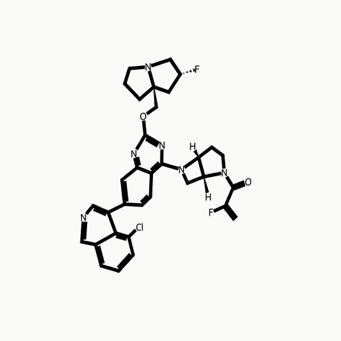 C=C(F)C(=O)N1CC[C@@H]2[C@H]1CN2c1nc(OC[C@@]23CCCN2C[C@H](F)C3)nc2cc(-c3cncc4cccc(Cl)c34)ccc12